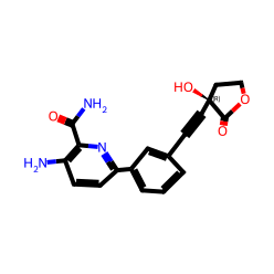 NC(=O)c1nc(-c2cccc(C#C[C@]3(O)CCOC3=O)c2)ccc1N